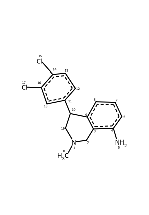 CN1Cc2c(N)cccc2C(c2ccc(Cl)c(Cl)c2)C1